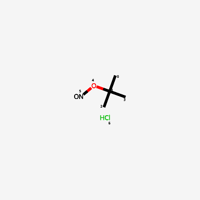 CC(C)(C)ON=O.Cl